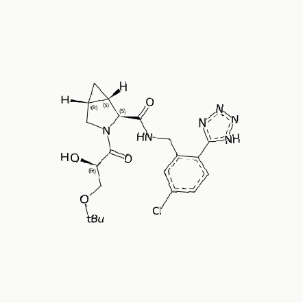 CC(C)(C)OC[C@@H](O)C(=O)N1C[C@@H]2C[C@@H]2[C@H]1C(=O)NCc1cc(Cl)ccc1-c1nnn[nH]1